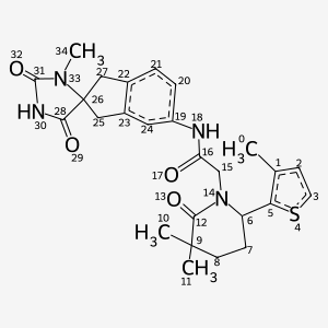 Cc1ccsc1C1CCC(C)(C)C(=O)N1CC(=O)Nc1ccc2c(c1)CC1(C2)C(=O)NC(=O)N1C